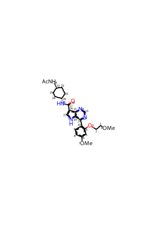 COCCOc1cc(OC)ccc1-c1ncnc2c(C(=O)N[C@H]3CC[C@H](NC(C)=O)CC3)c[nH]c12